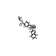 CC(=O)SCC(=O)c1ccc(NS(=O)(=O)c2cc3ccccc3s2)cc1